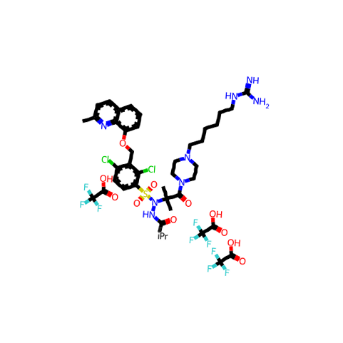 Cc1ccc2cccc(OCc3c(Cl)ccc(S(=O)(=O)N(NC(=O)C(C)C)C(C)(C)C(=O)N4CCN(CCCCCCNC(=N)N)CC4)c3Cl)c2n1.O=C(O)C(F)(F)F.O=C(O)C(F)(F)F.O=C(O)C(F)(F)F